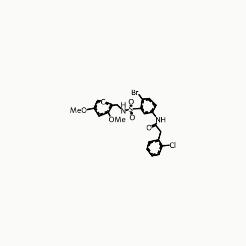 COc1ccc(CNS(=O)(=O)c2cc(NC(=O)Cc3ccccc3Cl)ccc2Br)c(OC)c1